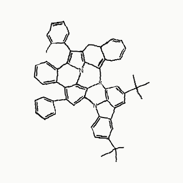 Cc1ccccc1-c1c2c3n4c1c1ccccc1c1c(-c5ccccc5)cc5c(c14)B(C3=C1C=CC=CC1C2)c1cc(C(C)(C)C)cc2c3cc(C(C)(C)C)ccc3n-5c12